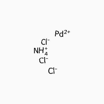 [Cl-].[Cl-].[Cl-].[NH4+].[Pd+2]